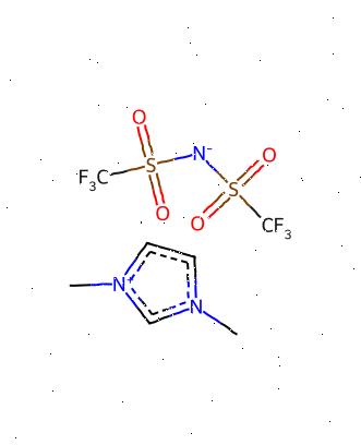 Cn1cc[n+](C)c1.O=S(=O)([N-]S(=O)(=O)C(F)(F)F)C(F)(F)F